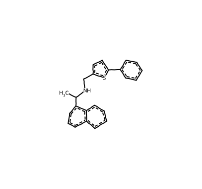 CC(NCc1ccc(-c2ccccc2)s1)c1cccc2ccccc12